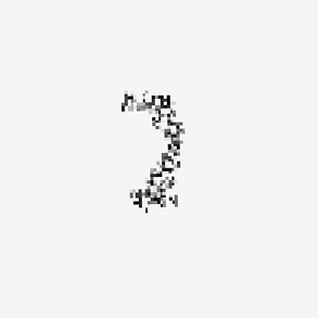 CCCCC(C)(C#N)CC1C=CC=C(c2ccc(COCc3ccc(C4=CC=CC(CC(C)(C#N)CCCC)C4=O)cc3)cc2)C1=O